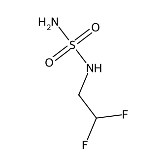 NS(=O)(=O)NCC(F)F